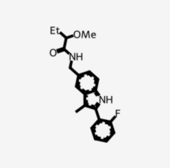 CCC(OC)C(=O)NCc1ccc2[nH]c(-c3ccccc3F)c(C)c2c1